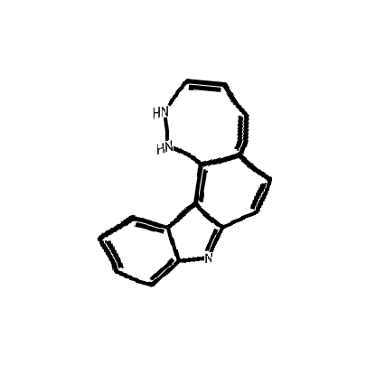 C1=CNNc2c3c(ccc2=C1)=Nc1ccccc1-3